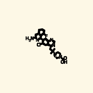 CC(C)(Cc1ncnc2cc(-c3nc(N)cc4cccc(F)c34)c(Cl)cc12)N1CCN(C(=O)O)CC1